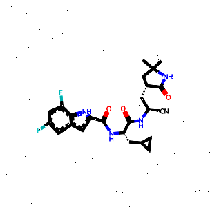 CC1(C)C[C@@H](C[C@@H](C#N)NC(=O)[C@H](CC2CC2)NC(=O)c2cc3cc(F)cc(F)c3[nH]2)C(=O)N1